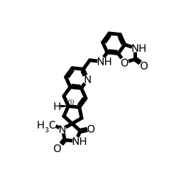 CN1C(=O)NC(=O)C12CC1=Cc3nc(CNc4cccc5[nH]c(=O)oc45)ccc3C[C@H]1C2